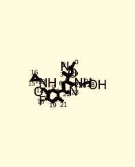 Cc1ncc(-c2cc(-c3cc(C(=O)NC4CC4)c(F)cc3C)cnc2NCCO)o1